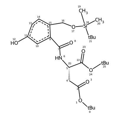 CC(C)(C)OC(=O)C[C@H](NC(=O)c1cc(O)ccc1CO[Si](C)(C)C(C)(C)C)C(=O)OC(C)(C)C